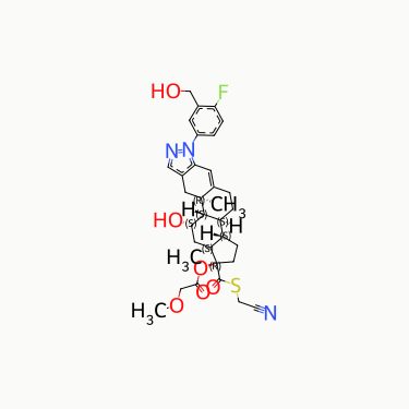 COCC(=O)O[C@]1(C(=O)SCC#N)CC[C@H]2[C@@H]3CCC4=Cc5c(cnn5-c5ccc(F)c(CO)c5)C[C@]4(C)[C@H]3[C@@H](O)C[C@@]21C